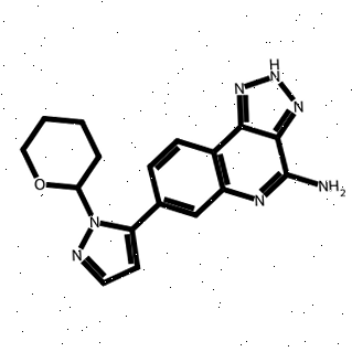 Nc1nc2cc(-c3ccnn3C3CCCCO3)ccc2c2n[nH]nc12